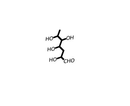 CC(O)C(O)C(O)CC(O)C=O